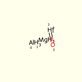 [AlH3].[MgH2].[O]=[Hf]